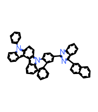 c1ccc(-c2cc(-c3nc(-c4ccc5ccccc5c4)c4ccccc4n3)ccc2-n2c3ccccc3c3c4c5ccccc5n(-c5ccccc5)c4ccc32)cc1